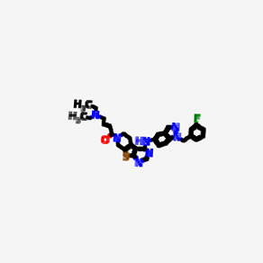 CCN(CC)CC=CC(=O)N1CCc2c(sc3ncnc(Nc4ccc5c(cnn5Cc5cccc(F)c5)c4)c23)C1